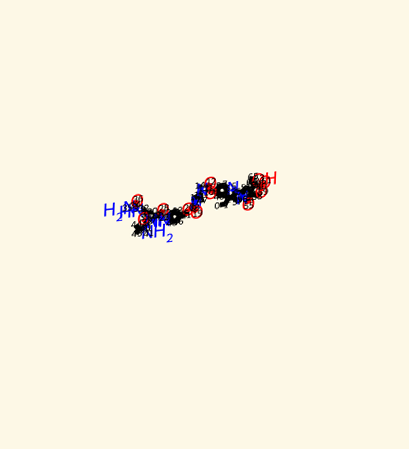 CCc1c2c(nc3ccc(OC(=O)N(C)C4CN(C(=O)OCc5ccc(NC(=O)[C@H](CCCNC(N)=O)NC(=O)[C@@H](N)C(C)C)cc5)C4)cc13)-c1cc3c(c(=O)n1C2)COC(=O)[C@]3(O)CC